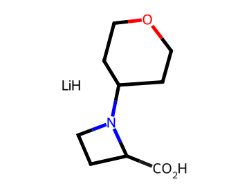 O=C(O)C1CCN1C1CCOCC1.[LiH]